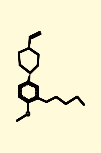 C=C[C@H]1CC[C@H](c2ccc(OC)c(CCCCC)c2)CC1